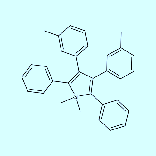 Cc1cccc(C2=C(c3ccccc3)[Si](C)(C)C(c3ccccc3)=C2c2cccc(C)c2)c1